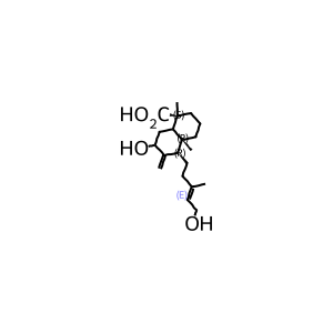 C=C1C(O)CC2[C@](C)(CCC[C@]2(C)C(=O)O)[C@H]1CC/C(C)=C/CO